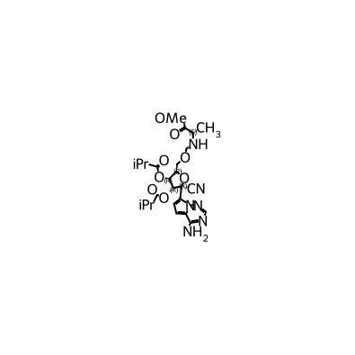 COC(=O)[C@H](C)NCOC[C@H]1O[C@@](C#N)(c2ccc3c(N)ncnn23)[C@H](OC(=O)C(C)C)[C@@H]1OC(=O)C(C)C